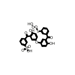 O=C(c1cccc(SOOO)c1)c1cc(Oc2ccc(O)c(C(=O)c3cccc(S(=O)(=O)O)c3)c2)ccc1O